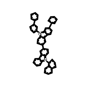 c1ccc(-c2cccc(-n3c4ccc(-c5ccc6c(c5)c5ccccc5n6-c5cccc6ccccc56)cc4c4ccc(-c5ccccc5)cc43)c2)cc1